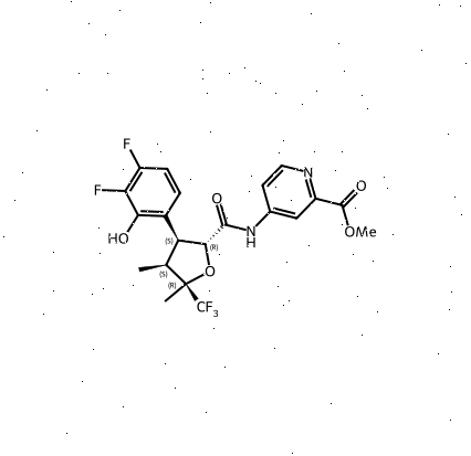 COC(=O)c1cc(NC(=O)[C@@H]2O[C@@](C)(C(F)(F)F)[C@@H](C)[C@H]2c2ccc(F)c(F)c2O)ccn1